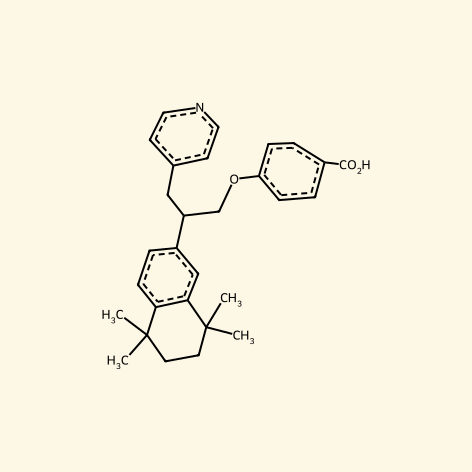 CC1(C)CCC(C)(C)c2cc(C(COc3ccc(C(=O)O)cc3)Cc3ccncc3)ccc21